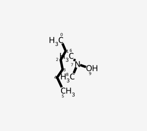 CCCCCC.CN(C)O